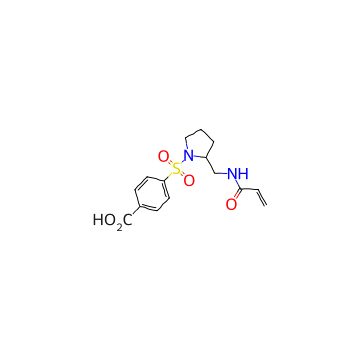 C=CC(=O)NCC1CCCN1S(=O)(=O)c1ccc(C(=O)O)cc1